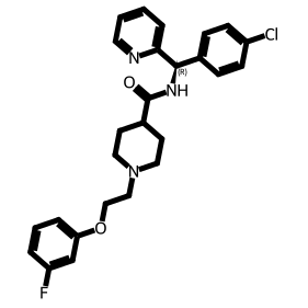 O=C(N[C@H](c1ccc(Cl)cc1)c1ccccn1)C1CCN(CCOc2cccc(F)c2)CC1